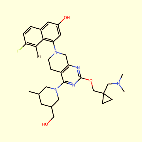 CCc1c(F)ccc2cc(O)cc(N3CCc4c(nc(OCC5(CN(C)C)CC5)nc4N4CC(C)CC(CO)C4)C3)c12